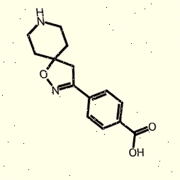 O=C(O)c1ccc(C2=NOC3(CCNCC3)C2)cc1